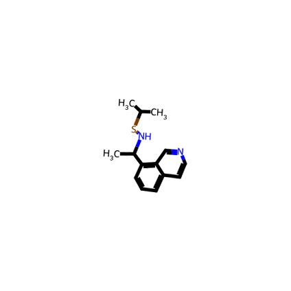 CC(C)SNC(C)c1cccc2ccncc12